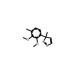 COc1c(I)ccc(C2(C)C=CN=N2)c1OC